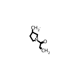 [CH2]C1CCN(C(=O)C=C)C1